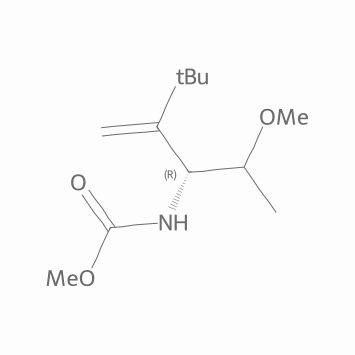 C=C([C@@H](NC(=O)OC)C(C)OC)C(C)(C)C